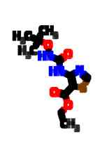 CCOC(=O)c1scnc1NC(=O)NOC(C)(C)C